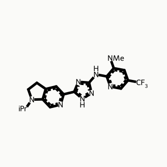 CNc1cc(C(F)(F)F)cnc1Nc1n[nH]c(-c2cc3c(cn2)N(C(C)C)CC3)n1